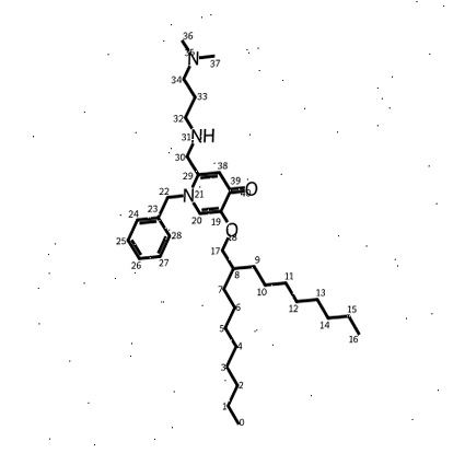 CCCCCCCCC(CCCCCCCC)COc1cn(Cc2ccccc2)c(CNCCCN(C)C)cc1=O